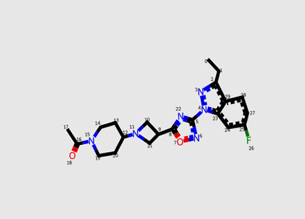 CCc1nn(-c2noc(C3CN(C4CCN(C(C)=O)CC4)C3)n2)c2cc(F)ccc12